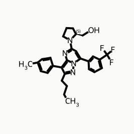 CCCCc1nn2c(-c3cccc(C(F)(F)F)c3)cc(N3CCC[C@H]3CO)nc2c1-c1ccc(C)cc1